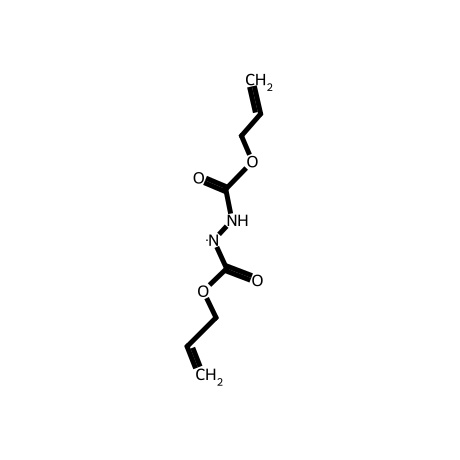 C=CCOC(=O)[N]NC(=O)OCC=C